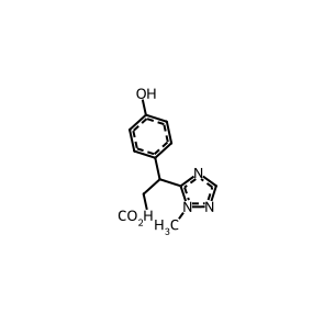 Cn1ncnc1C(CC(=O)O)c1ccc(O)cc1